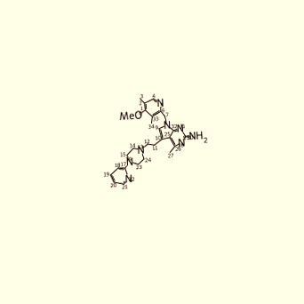 COc1c(C)cnc(Cn2cc(CCN3CCN(c4ccccn4)CC3)c3c(C)nc(N)nc32)c1C